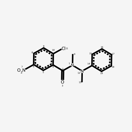 CN(C(=O)c1cc([N+](=O)[O-])ccc1Cl)N(C)c1ccccc1